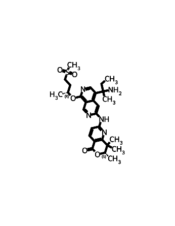 CCC(C)(N)c1cnc(O[C@H](C)CCS(C)(=O)=O)c2cnc(Nc3ccc4c(n3)C(C)(C)[C@H](C)OC4=O)cc12